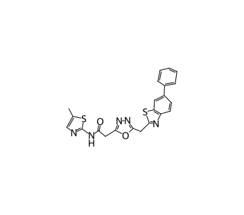 Cc1cnc(NC(=O)Cc2nnc(Cc3nc4ccc(-c5ccccc5)cc4s3)o2)s1